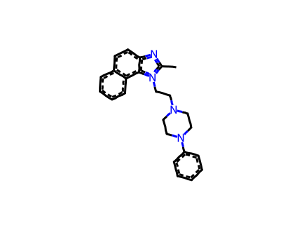 Cc1nc2ccc3ccccc3c2n1CCN1CCN(c2ccccc2)CC1